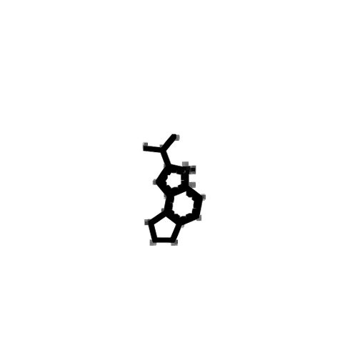 CC(C)c1cc2c3c(ccc2[nH]1)CCC3